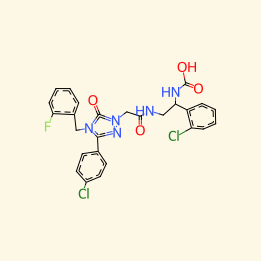 O=C(O)NC(CNC(=O)Cn1nc(-c2ccc(Cl)cc2)n(Cc2ccccc2F)c1=O)c1ccccc1Cl